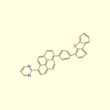 c1cnc(-c2ccc3ccc4c(-c5ccc(-c6cccc7c6oc6ccccc67)cc5)ccc5ccc2c3c54)nc1